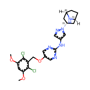 COc1cc(OC)c(Cl)c(COc2cnc(Nc3cnn([C@@H]4C[C@H]5CC[C@@H](C4)N5)c3)nc2)c1Cl